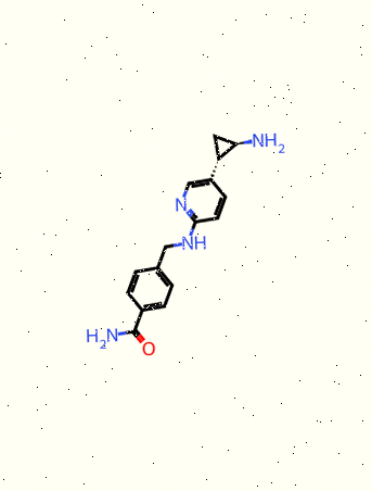 NC(=O)c1ccc(CNc2ccc([C@@H]3C[C@H]3N)cn2)cc1